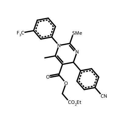 CCOC(=O)COC(=O)C1=C(C)N(c2cccc(C(F)(F)F)c2)C(SC)=NC1c1ccc(C#N)cc1